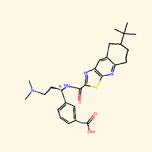 CN(C)CC[C@@H](NC(=O)c1nc2cc3c(nc2s1)CCC(C(C)(C)C)C3)c1cccc(C(=O)O)c1